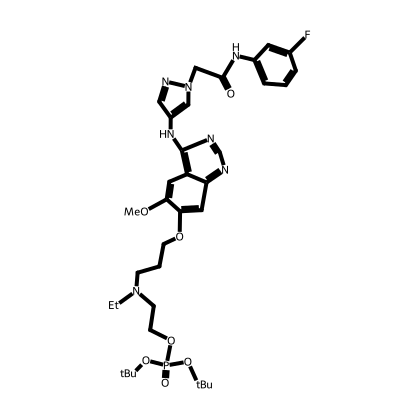 CCN(CCCOc1cc2ncnc(Nc3cnn(CC(=O)Nc4cccc(F)c4)c3)c2cc1OC)CCOP(=O)(OC(C)(C)C)OC(C)(C)C